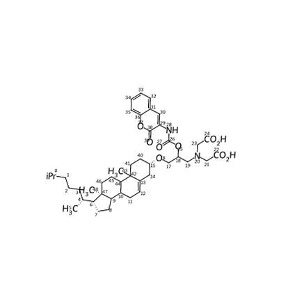 CC(C)CCC[C@@H](C)[C@H]1CCC2C3CC=C4C[C@@H](OCC(CN(CC(=O)O)CC(=O)O)OC(=O)Nc5cc6ccccc6oc5=O)CCC4(C)C3CC[C@@]21C